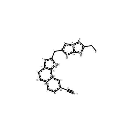 CCc1nn2cc(Cc3nc4cnc5ccc(C#N)cc5c4[nH]3)nc2s1